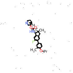 Cc1cc(-c2cc3c(cc2F)[C@H](NC(=O)O[C@@H]2CN4CCC2CC4)C(C)(C)C3)ccc1OC(C)C